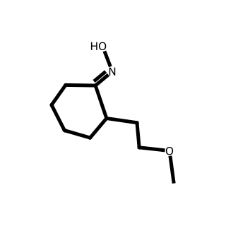 COCCC1CCCCC1=NO